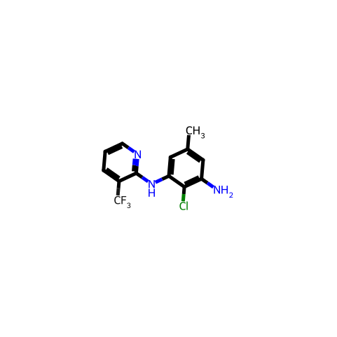 Cc1cc(N)c(Cl)c(Nc2ncccc2C(F)(F)F)c1